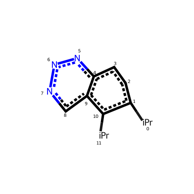 CC(C)c1ccc2nnncc2c1C(C)C